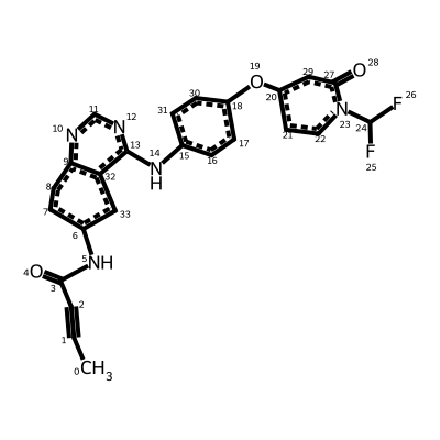 CC#CC(=O)Nc1ccc2ncnc(Nc3ccc(Oc4ccn(C(F)F)c(=O)c4)cc3)c2c1